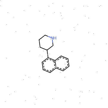 [CH]1CCNC[C]1c1cccc2ccccc12